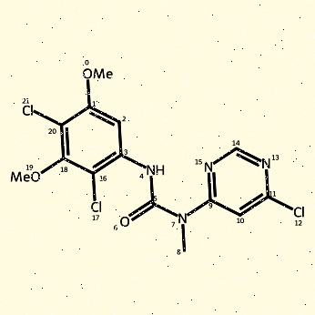 COc1cc(NC(=O)N(C)c2cc(Cl)ncn2)c(Cl)c(OC)c1Cl